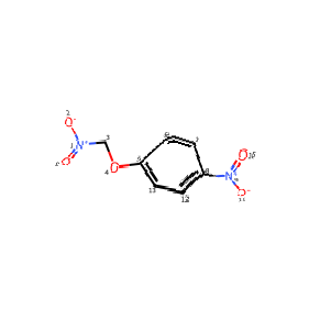 O=[N+]([O-])COc1ccc([N+](=O)[O-])cc1